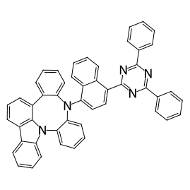 c1ccc(-c2nc(-c3ccccc3)nc(-c3ccc(-n4c5ccccc5c5cccc6c7ccccc7n(c7ccccc74)c56)c4ccccc34)n2)cc1